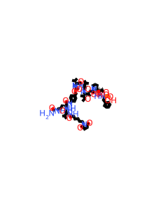 CCC(C)[C@@H]([C@H](C=O)CC(=O)N1CCC[C@H]1[C@H](OC)[C@H](C)C(=O)NC(Cc1ccccc1)P(=O)(O)O)N(C)C(=O)[C@@H](NC(=O)[C@H](C(C)C)N(C)C(=O)OCc1ccc(NC(=O)[C@H](CCCNC(N)=O)NC(=O)[C@@H](NC(=O)CCCCCN2C(=O)C=CC2=O)C(C)C)cc1)C(C)C